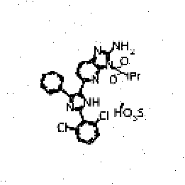 CC(C)S(=O)(=O)n1c(N)nc2ccc(-c3[nH]c(-c4c(Cl)cccc4Cl)nc3-c3ccccc3)nc21.CS(=O)(=O)O